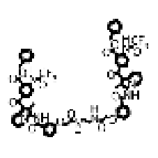 Cc1c(C(=O)c2ccc(NC(=O)C(F)(F)F)c(C(=O)OCc3ccccc3)c2)c2ccccn2c1NC(=O)c1cccc(OCC(=O)NCCNC(=O)COc2cccc(C(=O)Nc3c(C)c(C(=O)c4ccc(NC(=O)C(F)(F)F)c(C(=O)OCc5ccccc5)c4)c4ccccn34)c2)c1